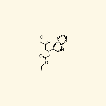 CCOC(=O)CC(CC(=O)CCl)c1cnc2ccccc2c1